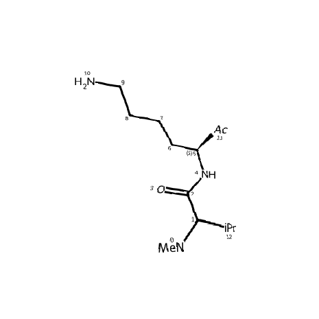 CNC(C(=O)N[C@@H](CCCCN)C(C)=O)C(C)C